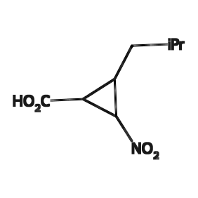 CC(C)CC1C(C(=O)O)C1[N+](=O)[O-]